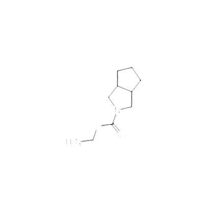 NCOC(=O)N1CC2CCCC2C1